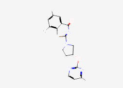 Cc1ccnc(O[C@H]2CCN(c3nc(=O)c4cc(C(F)(F)F)cc([N+](=O)[O-])c4s3)C2)n1